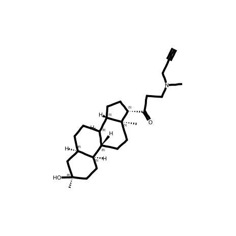 C#CCN(C)CCC(=O)[C@H]1CC[C@H]2[C@@H]3CC[C@@H]4C[C@](C)(O)CC[C@@H]4[C@H]3CC[C@]12C